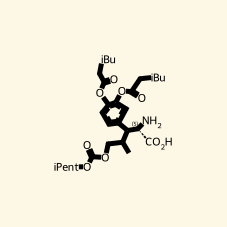 CCCC(C)OC(=O)OCC(C)C(c1ccc(OC(=O)CC(C)CC)c(OC(=O)CC(C)CC)c1)[C@H](N)C(=O)O